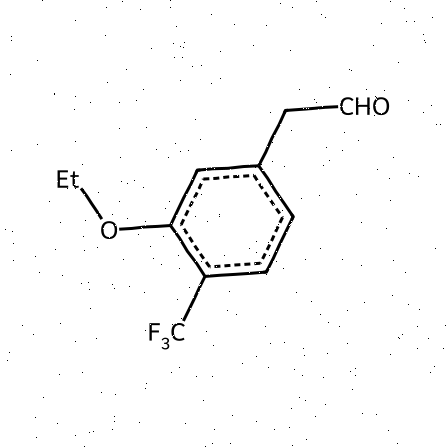 CCOc1cc(CC=O)ccc1C(F)(F)F